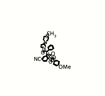 COc1ccc(S(=O)(=O)n2c(=O)n(C(C(=O)N3CC[C@@H](N4CCN(C)CC4)C3)c3ccccc3)c3cc(C#N)ccc32)cc1